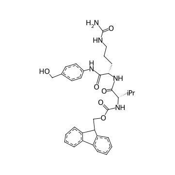 CC(C)[C@H](NC(=O)OCC1c2ccccc2-c2ccccc21)C(=O)N[C@@H](CCCNC(N)=O)C(=O)Nc1ccc(CO)cc1